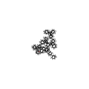 c1ccc(-c2ccc(-c3nc(-c4cc(-n5c6ccccc6c6ccc(-c7ccc8c(c7)c7ccccc7n8-c7ccccc7)cc65)cc(-n5c6ccccc6c6ccc(-c7ccc8c(c7)c7ccccc7n8-c7ccccc7)cc65)c4)c4ccc5ccccc5c4n3)cc2)cc1